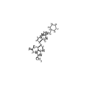 Cc1nc2ncc(-c3ccn4nc(NCC5CCCCC5)ncc34)cc2n1CC(F)F